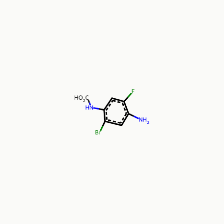 Nc1cc(Br)c(NC(=O)O)cc1F